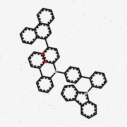 c1ccc(-c2ccccc2N(c2ccc(-c3ccccc3-n3c4ccccc4c4ccccc43)cc2)c2ccc(-c3cc4ccccc4c4ccccc34)cc2)cc1